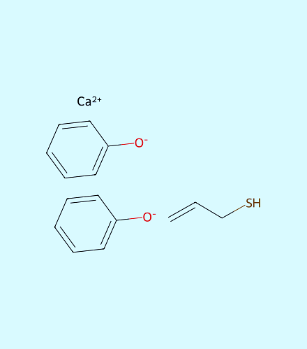 C=CCS.[Ca+2].[O-]c1ccccc1.[O-]c1ccccc1